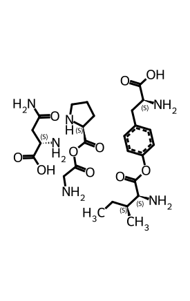 CC[C@H](C)[C@H](N)C(=O)Oc1ccc(C[C@H](N)C(=O)O)cc1.NC(=O)C[C@H](N)C(=O)O.NCC(=O)OC(=O)[C@@H]1CCCN1